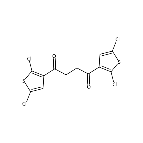 O=C(CCC(=O)c1cc(Cl)sc1Cl)c1cc(Cl)sc1Cl